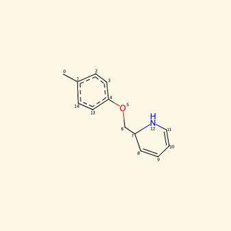 Cc1ccc(OCC2C=CC=CN2)cc1